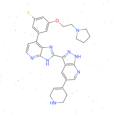 Fc1cc(OCCN2CCCC2)cc(-c2ccnc3[nH]c(-c4n[nH]c5ncc(C6=CCNCC6)cc45)nc23)c1